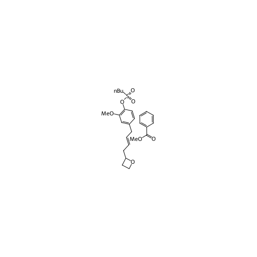 CCCCS(=O)(=O)Oc1ccc(CC=CCC2CCO2)cc1OC.COC(=O)c1ccccc1